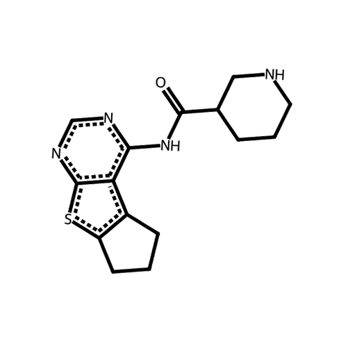 O=C(Nc1ncnc2sc3c(c12)CCC3)C1CCCNC1